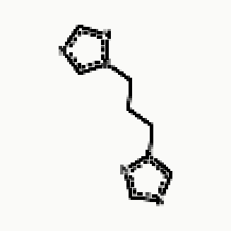 c1ncn(CCCn2cncn2)n1